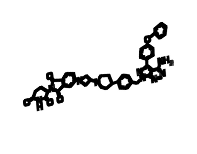 Nc1ncnc2c1c(-c1ccc(Oc3ccccc3)cc1)nn2Cc1ccc(C2CCN(C3CN(c4ccc5c(c4)C(=O)N(C4CCC(=O)NC4=O)C5=O)C3)CC2)cc1